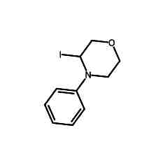 IC1COCCN1c1ccccc1